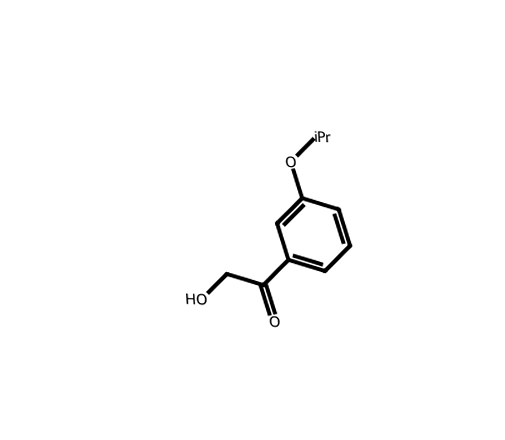 CC(C)Oc1cccc(C(=O)CO)c1